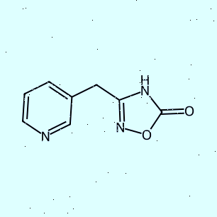 O=c1[nH]c(Cc2cccnc2)no1